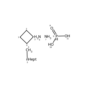 C1CCC1.CCCCCCCC.N.N.O=[PH](O)O